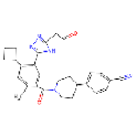 Cc1cc(C2CCC2)c(-c2nnc(CC=O)[nH]2)cc1C(=O)N1CCC(c2ccc(C#N)cc2)CC1